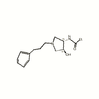 CCC(=O)N[C@H]1CN(CCCc2ccccc2)C[C@@H]1O